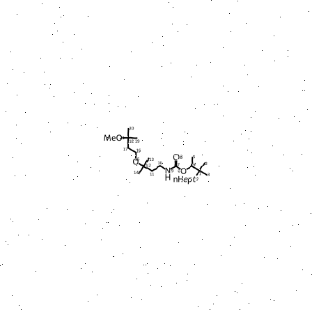 CCCCCCCC(C)(C)C(C)OC(=O)NCCC(C)(C)OCCC(C)(C)OC